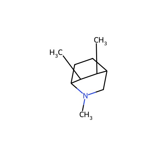 CC1C2CCC(C1C)N(C)C2